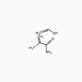 C=C(C)C(N)=O.C=CO